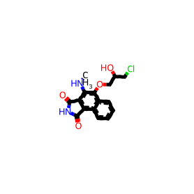 CNc1c2c(c3ccccc3c1OCC(O)CCl)C(=O)NC2=O